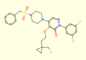 O=c1c(OCCC2(CF)CC2)c(N2CCN(S(=O)(=O)Cc3ccccc3)CC2)cnn1-c1cc(F)cc(F)c1